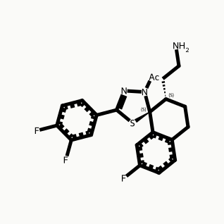 CC(=O)N1N=C(c2ccc(F)c(F)c2)S[C@@]12c1cc(F)ccc1CC[C@H]2CCN